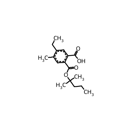 CCCC(C)(C)OC(=O)c1cc(C)c(CC)cc1C(=O)O